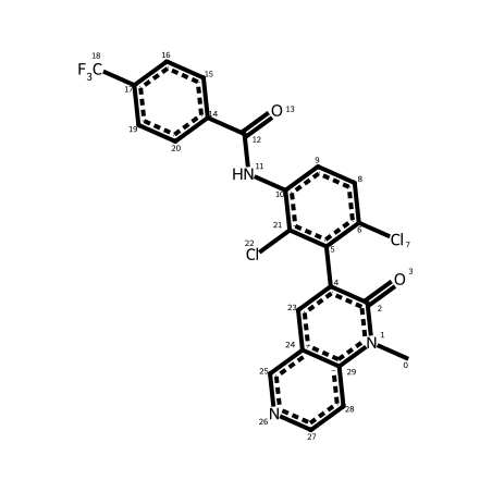 Cn1c(=O)c(-c2c(Cl)ccc(NC(=O)c3ccc(C(F)(F)F)cc3)c2Cl)cc2cnccc21